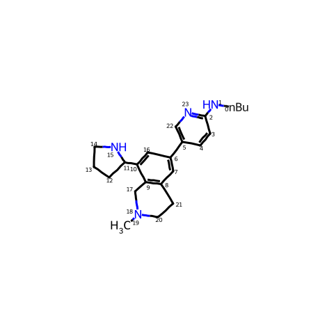 CCCCNc1ccc(-c2cc3c(c(C4CCCN4)c2)CN(C)CC3)cn1